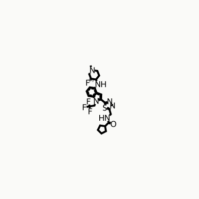 CN1CCC(Nc2cccc3c2cc(-c2nnc(CNC(=O)C4CCCC4)s2)n3CC(F)(F)F)[C@H](F)C1